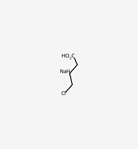 O=C(O)CCCCl.[NaH]